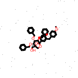 COc1ccc(Cc2cc(C34OCC(CO)(O3)[C@H](OCc3ccccc3)[C@H](OCc3ccccc3)C4OCc3ccccc3)ccc2C)cc1